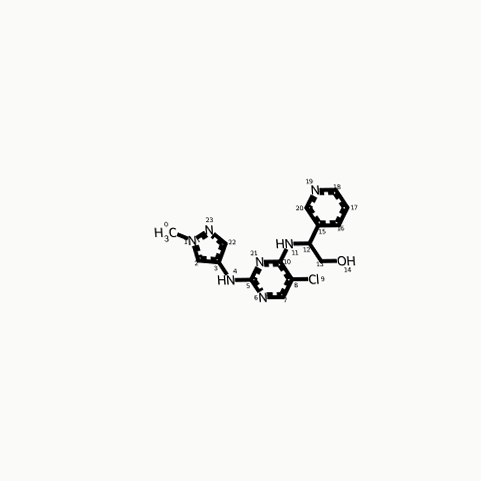 Cn1cc(Nc2ncc(Cl)c(NC(CO)c3cccnc3)n2)cn1